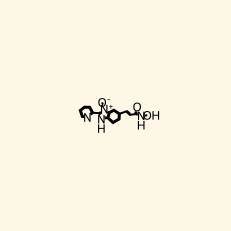 O=C(/C=C/c1ccc2[nH]c(-c3ccccn3)[n+]([O-])c2c1)NO